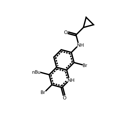 CCCCc1c(Br)c(=O)[nH]c2c(Br)c(NC(=O)C3CC3)ccc12